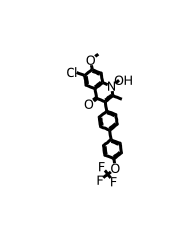 COc1cc2c(cc1Cl)c(=O)c(-c1ccc(-c3ccc(OC(F)(F)F)cc3)cc1)c(C)n2O